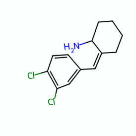 NC1CCCCC1=Cc1ccc(Cl)c(Cl)c1